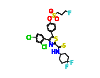 O=S(=O)(CCCF)Oc1ccc(-c2sc(C(=S)NC3CCC(F)(F)CC3)nc2-c2ccc(Cl)cc2Cl)cc1